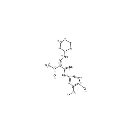 COc1cc(NC(=N)/C(=C\NC2CCCOC2)C(N)=O)ccc1Cl